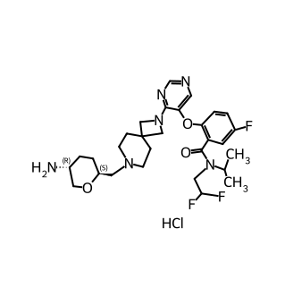 CC(C)N(CC(F)F)C(=O)c1cc(F)ccc1Oc1cncnc1N1CC2(CCN(C[C@@H]3CC[C@@H](N)CO3)CC2)C1.Cl